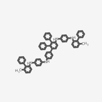 Cc1cccc(Nc2ccc(Nc3ccc(-c4ccc(Nc5ccc(Nc6cccc(C)c6-c6ccccc6)cc5)c(-c5ccccc5)c4-c4ccccc4)cc3)cc2)c1-c1ccccc1